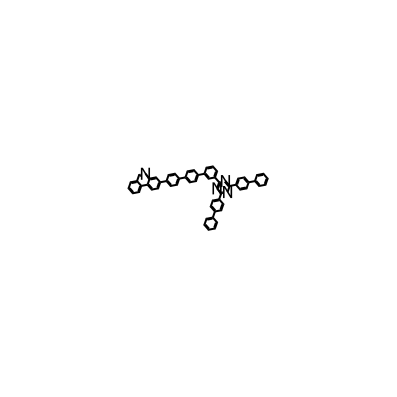 c1ccc(-c2ccc(-c3nc(-c4ccc(-c5ccccc5)cc4)nc(-c4cccc(-c5ccc(-c6ccc(-c7ccc8c(c7)ncc7ccccc78)cc6)cc5)c4)n3)cc2)cc1